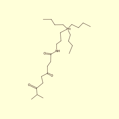 CCCC[PH](CCCC)(CCCC)CCCNC(=O)CCC(=O)CCC(=O)C(C)C